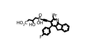 CC(C)c1nc2c(c(-c3ccc(F)cc3)c1C#CP(=O)(O)CC(O)CC(=O)O)Cc1ccccc1-2